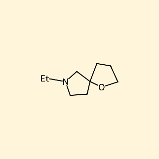 CCN1CCC2(CCCO2)C1